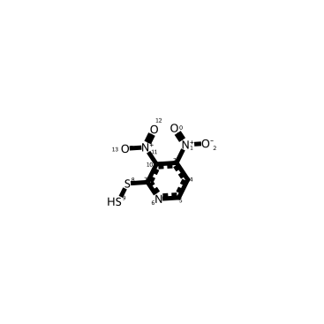 O=[N+]([O-])c1ccnc(SS)c1[N+](=O)[O-]